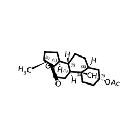 CC(=O)O[C@@H]1CC[C@@]2(C)[C@@H](CC[C@@H]3[C@@H]2CC[C@]24C(=O)O[C@H](C)C2CC[C@@H]34)C1